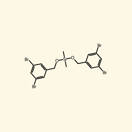 C[Si](C)(OCc1cc(Br)cc(Br)c1)OCc1cc(Br)cc(Br)c1